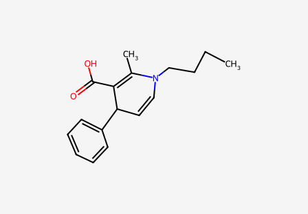 CCCCN1C=CC(c2ccccc2)C(C(=O)O)=C1C